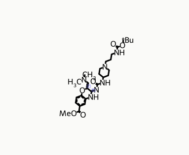 COC(=O)c1ccc2c(c1)NC(=N/C(=O)NC1CCN(CCCNC(=O)OC(C)(C)C)CC1)/C(=C/N(C)C)O2